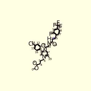 COC(=O)CCCN1C[C@H](c2ccc(Cl)cc2)N(C(=O)CNC(=O)/C=C/c2ccc(C(F)(F)F)cc2F)C[C@H]1C